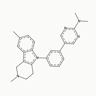 Cc1ccc2c(c1)c1c(n2-c2cccc(-c3cnc(N(C)C)nc3)c2)CCN(C)C1